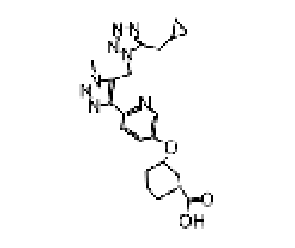 Cn1nnc(-c2ccc(O[C@H]3CCC[C@H](C(=O)O)C3)cn2)c1Cn1nnnc1CC1CC1